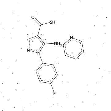 Nc1c(C(=O)S)cnn1-c1ccc(F)cc1.c1ccncc1